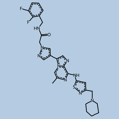 Cc1cn2c(-c3cnn(CC(=O)NCc4cccc(F)c4F)c3)cnc2c(Nc2cc(CN3CCCCC3)ns2)n1